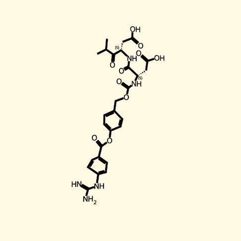 CC(C)C(=O)[C@H](CC(=O)O)NC(=O)[C@H](CC(=O)O)NC(=O)OCc1ccc(OC(=O)c2ccc(NC(=N)N)cc2)cc1